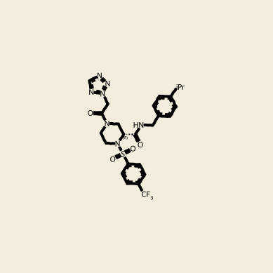 CC(C)c1ccc(CNC(=O)[C@H]2CN(C(=O)Cn3ncnn3)CCN2S(=O)(=O)c2ccc(C(F)(F)F)cc2)cc1